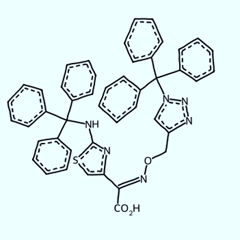 O=C(O)C(=NOCc1cn(C(c2ccccc2)(c2ccccc2)c2ccccc2)nn1)c1csc(NC(c2ccccc2)(c2ccccc2)c2ccccc2)n1